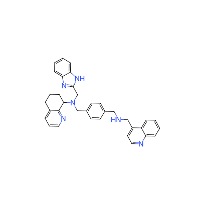 c1cnc2c(c1)CCCC2N(Cc1ccc(CNCc2ccnc3ccccc23)cc1)Cc1nc2ccccc2[nH]1